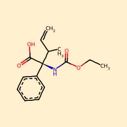 C=CC(C)[C@@](NC(=O)OCC)(C(=O)O)c1ccccc1